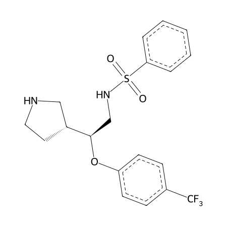 O=S(=O)(NC[C@@H](Oc1ccc(C(F)(F)F)cc1)[C@@H]1CCNC1)c1ccccc1